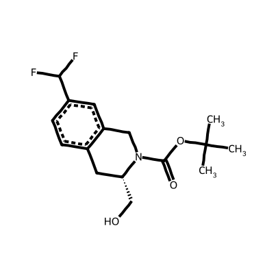 CC(C)(C)OC(=O)N1Cc2cc(C(F)F)ccc2C[C@H]1CO